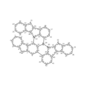 c1ccc2c(c1)oc1cc3c4c(c12)-n1c2c(cccc2c2sc5ccccc5c21)B4n1c2sc4ccccc4c2c2cccc-3c21